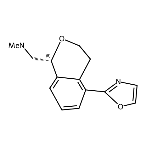 CNC[C@@H]1OCCc2c(-c3ncco3)cccc21